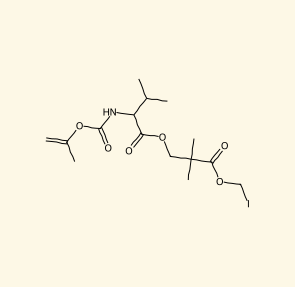 C=C(C)OC(=O)NC(C(=O)OCC(C)(C)C(=O)OCI)C(C)C